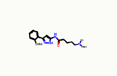 CCCCN(CC)CCCCC(=O)Nc1cc(-c2ccccc2OC)n[nH]1